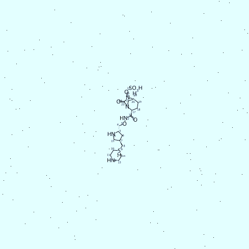 O=C(NOC[C@@H]1C[C@@H](C[SH]2CCNCC2)CN1)[C@@H]1CC[C@H]2CN1C(=O)N2OS(=O)(=O)O